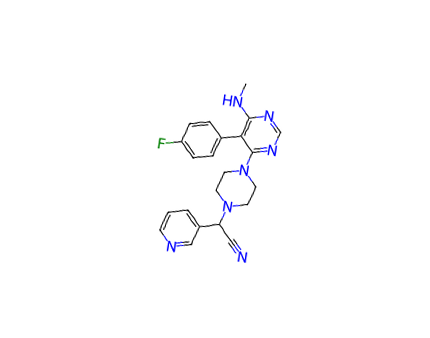 CNc1ncnc(N2CCN(C(C#N)c3cccnc3)CC2)c1-c1ccc(F)cc1